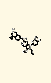 C=CCN1C(O)c2cnc(Nc3ccc4c(c3)CNCC43CC3)nc2N1c1ccc(=O)n(C(C)C)n1